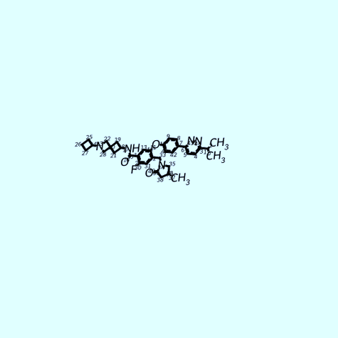 CC(C)c1ccc(-c2ccc(Oc3cc(C(=O)NC4CC5(C4)CN(C4CCC4)C5)c(F)cc3CN3C[C@@H](C)CC3=O)cc2)nn1